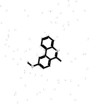 COc1ccc2c(C)nc3ccccc3c2c1